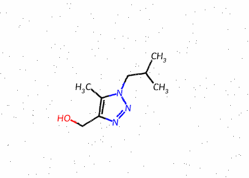 Cc1c(CO)nnn1CC(C)C